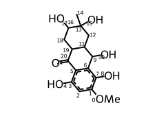 COc1cc(O)c2c(c1O)C(O)C1CC(C)(O)C(O)CC1C2=O